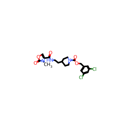 Cn1c(C(=O)NCCC2CCN(C(=O)OCc3cc(Cl)cc(Cl)c3)CC2)coc1=O